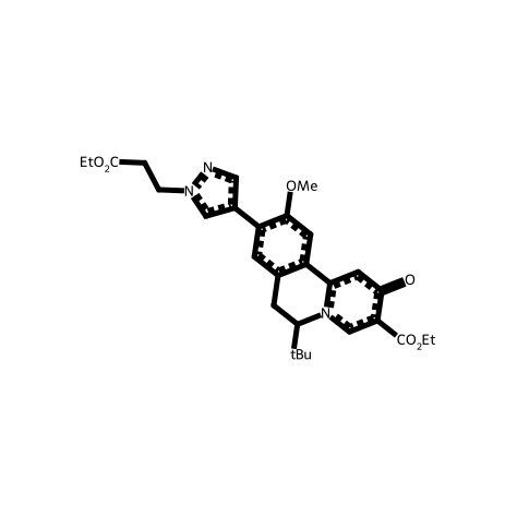 CCOC(=O)CCn1cc(-c2cc3c(cc2OC)-c2cc(=O)c(C(=O)OCC)cn2C(C(C)(C)C)C3)cn1